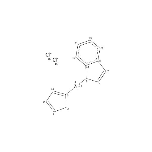 C1=CC[C]([Zr+2][CH]2C=Cc3ccccc32)=C1.[Cl-].[Cl-]